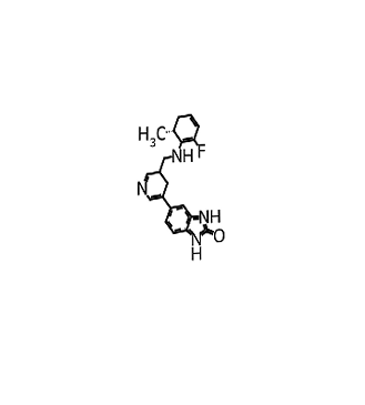 C[C@@H]1CC=CC(F)=C1NCC1C=NC=C(c2ccc3[nH]c(=O)[nH]c3c2)C1